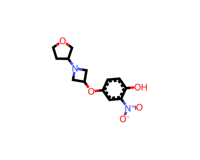 O=[N+]([O-])c1cc(OC2CN(C3CCOC3)C2)ccc1O